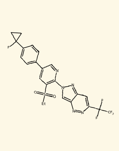 CCS(=O)(=O)c1cc(-c2ccc(C3(F)CC3)cc2)cnc1-n1cc2nnc(C(F)(F)C(F)(F)F)cc2n1